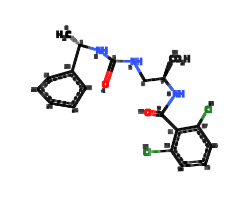 C[C@H](NC(=O)NC[C@H](NC(=O)c1c(Cl)cccc1Cl)C(=O)O)c1ccccc1